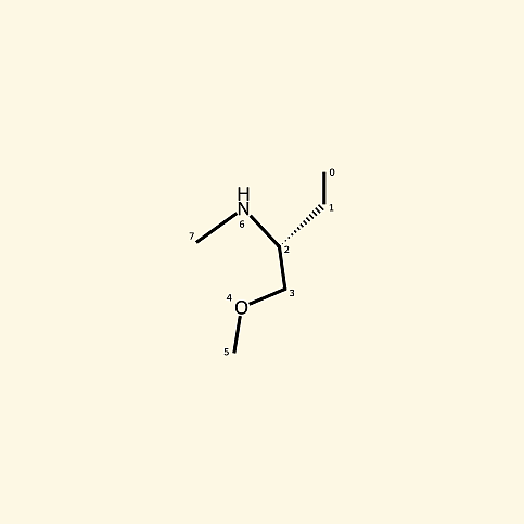 CC[C@H](COC)NC